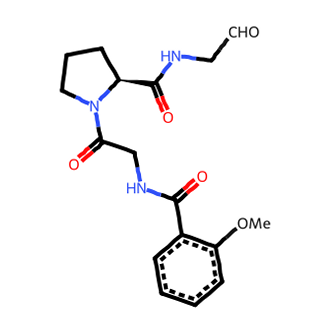 COc1ccccc1C(=O)NCC(=O)N1CCC[C@H]1C(=O)NCC=O